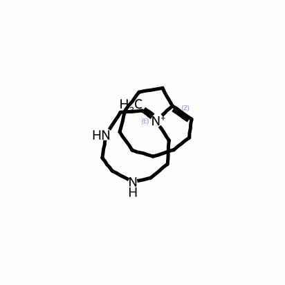 C/C1=[N+](\C2=C/CCCCCCCC2)CCCNCCNC1